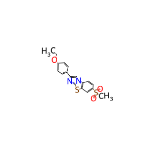 CCOc1ccc(-c2cn3c(n2)sc2cc(S(C)(=O)=O)ccc23)cc1